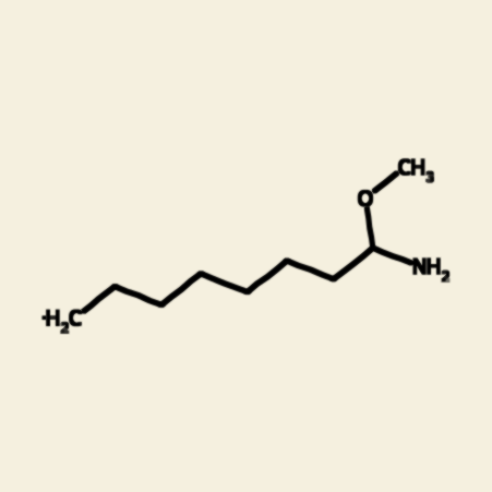 [CH2]CCCCCCC(N)OC